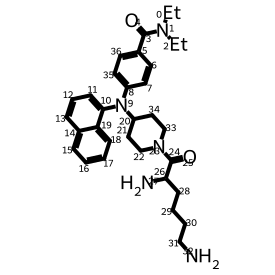 CCN(CC)C(=O)c1ccc(N(c2cccc3ccccc23)C2CCN(C(=O)C(N)CCCCN)CC2)cc1